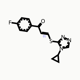 O=C(/C=C/Sc1nncn1C1CC1)c1ccc(F)cc1